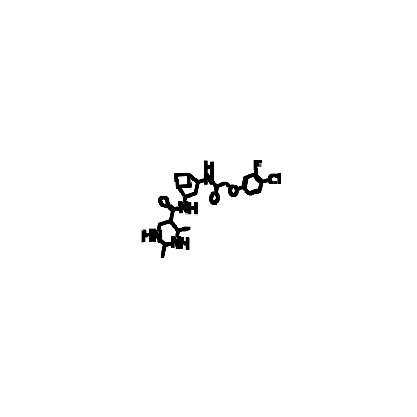 CC1NCC(C(=O)NC2CC(NC(=O)COc3ccc(Cl)c(F)c3)C3CC2C3)C(C)N1